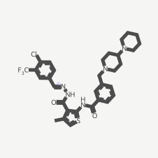 Cc1csc(NC(=O)c2cccc(CN3CCC(N4CCCCC4)CC3)c2)c1C(=O)N/N=C/c1ccc(Cl)c(C(F)(F)F)c1